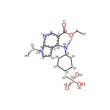 CCOC(=O)c1cnc2c(ccn2SI)c1N(C)[C@H]1CC[C@H](CS(=O)(=O)O)CC1